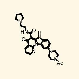 CC(=O)N1CCN(c2ccc3[nH]c4c(C(=O)NCCN5CCCC5)c(=O)c5cccnc5n4c3c2)CC1